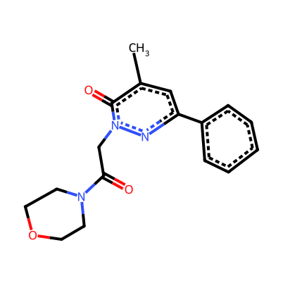 Cc1cc(-c2ccccc2)nn(CC(=O)N2CCOCC2)c1=O